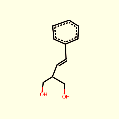 OCC(C=Cc1ccccc1)CO